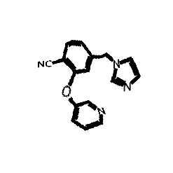 N#Cc1ccc(Cn2ccnc2)cc1Oc1cccnc1